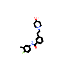 Cc1cc(NC(=O)c2cccc(CCN3CCC(O)CC3)c2)ccc1F